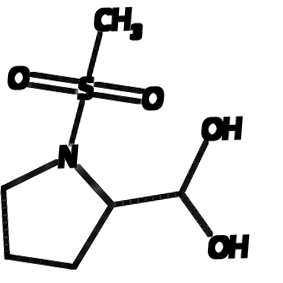 CS(=O)(=O)N1CCCC1C(O)O